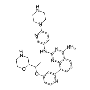 CC(Oc1ccnc(-c2cccc3c(N)nc(Nc4ccc(N5CCNCC5)nc4)nc23)c1)C1CNCCO1